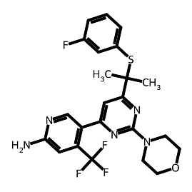 CC(C)(Sc1cccc(F)c1)c1cc(-c2cnc(N)cc2C(F)(F)F)nc(N2CCOCC2)n1